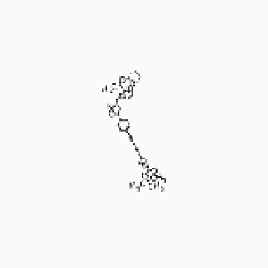 C[C@H](OC1CCCCO1)c1nccn1Cc1cc(-c2ccc(C#CC#CC3CN(C(=O)OC(C)(C)C)C3)cc2)on1